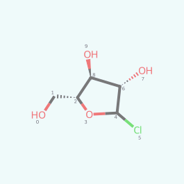 OC[C@H]1OC(Cl)[C@@H](O)[C@@H]1O